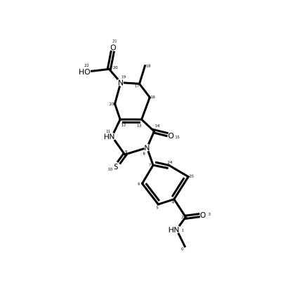 CNC(=O)c1ccc(-n2c(=S)[nH]c3c(c2=O)CC(C)N(C(=O)O)C3)cc1